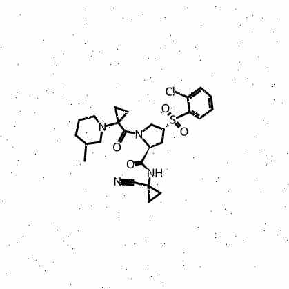 CC1CCCN(C2(C(=O)N3C[C@H](S(=O)(=O)c4ccccc4Cl)C[C@H]3C(=O)NC3(C#N)CC3)CC2)C1